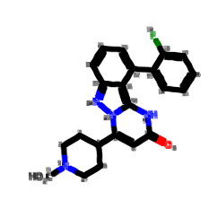 O=C(O)N1CCC(c2cc(=O)[nH]c3c4c(-c5ccccc5F)cccc4nn23)CC1